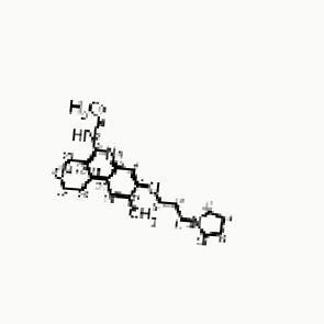 CCNc1nc2cc(OCCCN3CCCC3)c(C)cc2c2c1COCC2